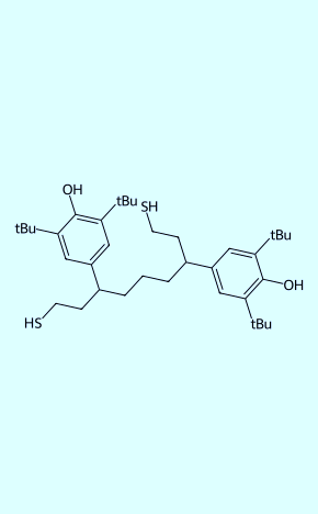 CC(C)(C)c1cc(C(CCS)CCCC(CCS)c2cc(C(C)(C)C)c(O)c(C(C)(C)C)c2)cc(C(C)(C)C)c1O